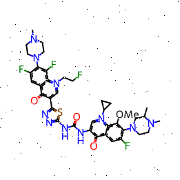 COc1c(N2CCN(C)C(C)C2)c(F)cc2c(=O)c(NC(=O)Nc3nnc(-c4cn(CCF)c5c(F)c(N6CCN(C)CC6)c(F)cc5c4=O)s3)cn(C3CC3)c12